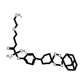 CCCOCCCC(=O)C(C)(C)Oc1ccc(C2CCC3(CC2)OOC2(OO3)C3CC4CC(C3)CC2C4)cc1